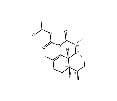 CC1=C[C@H]2[C@@H](CC1)[C@H](C)CC[C@H]2[C@@H](C)C(=O)OC(=O)OC(C)Cl